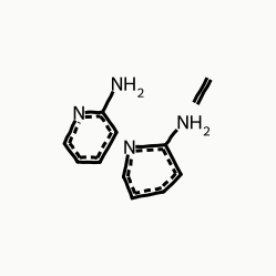 C=C.Nc1ccccn1.Nc1ccccn1